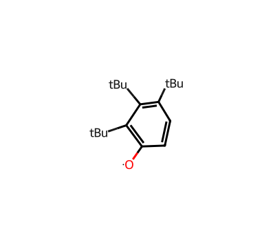 CC(C)(C)c1ccc([O])c(C(C)(C)C)c1C(C)(C)C